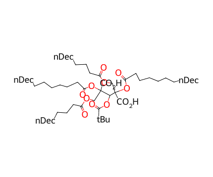 CCCCCCCCCCCCCCCCC(=O)OC(COC(=O)CCCCCCCCCCCCC)(C(=O)O)C(OC(=O)C(C)(C)C)C(COC(=O)CCCCCCCCCCCCC)(OC(=O)CCCCCCCCCCCCCCCC)C(=O)O